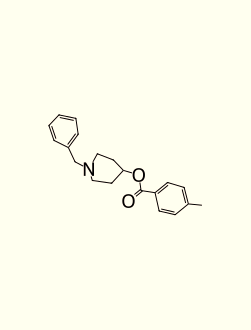 Cc1ccc(C(=O)OC2CCN(Cc3ccccc3)CC2)cc1